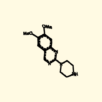 COc1cc2cnc(N3CCNCC3)nc2cc1OC